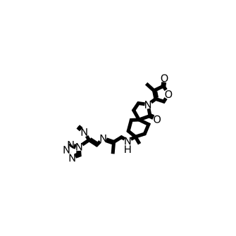 C=N/C(=C\N=C(/C)CNC1(C)CCC2(CCN(C3=C(C)C(=O)OC3)C2=O)CC1)n1cnnn1